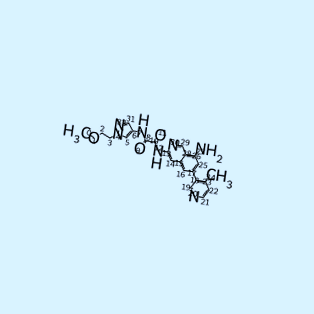 COCCn1cc(NC(=O)C(=O)Nc2cc3cc(-c4cnccc4C)cc(N)c3cn2)cn1